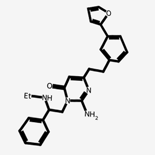 CCNC(Cn1c(N)nc(CCc2cccc(-c3ccco3)c2)cc1=O)c1ccccc1